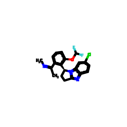 C/N=C(/C)c1cccc(OC(F)F)c1[C@H]1CCc2nc3ccc(Cl)cc3n21